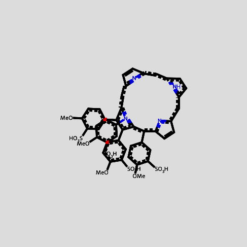 COc1ccc(-c2c(-c3ccc(OC)c(S(=O)(=O)O)c3)c3c(-c4ccc(OC)c(S(=O)(=O)O)c4)c4nc(cc5ccc(cc6nc(cc2n3-c2ccc(OC)c(S(=O)(=O)O)c2)C=C6)[nH]5)C=C4)cc1S(=O)(=O)O